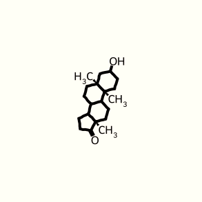 C[C@]12CCC3C4CCC(=O)[C@@]4(C)CCC3[C@@]1(C)CCC(O)C2